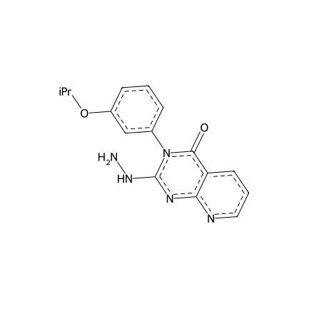 CC(C)Oc1cccc(-n2c(NN)nc3ncccc3c2=O)c1